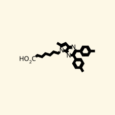 Cc1ccc(-c2nc3cc(C)n(CCCCCCC(=O)O)c3nc2-c2ccc(C)cc2)cc1